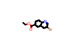 CCOC(=O)c1ccc2ncc(Br)cc2c1